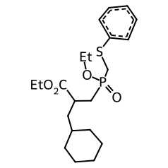 CCOC(=O)C(CC1CCCCC1)CP(=O)(CSc1ccccc1)OCC